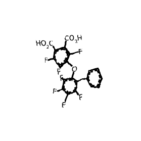 O=C(O)c1c(F)c(F)c(Oc2c(F)c(F)c(F)c(F)c2-c2ccccc2)c(F)c1C(=O)O